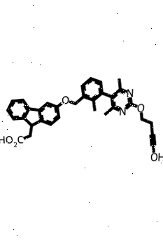 Cc1nc(OCCC#CO)nc(C)c1-c1cccc(COc2ccc3c(c2)-c2ccccc2C3CC(=O)O)c1C